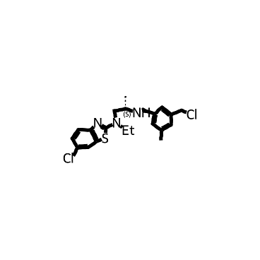 CCN(C[C@H](C)NCc1cc(C)cc(CCl)c1)c1nc2ccc(Cl)cc2s1